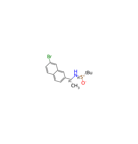 C[C@@H](N[S@@+]([O-])C(C)(C)C)c1ccc2ccc(Br)cc2c1